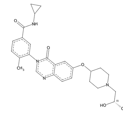 Cc1ccc(C(=O)NC2CC2)cc1-n1cnc2ccc(OC3CCN(C[C@H](C)O)CC3)cc2c1=O